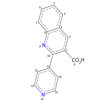 O=C(O)c1cc2ccccc2nc1-c1ccncc1